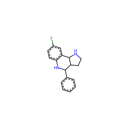 Fc1ccc2c(c1)C1NCCC1C(c1ccccc1)N2